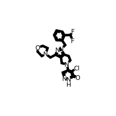 O=c1[nH]ncc(N2CCc3c(c(CN4CCOCC4)nn3Cc3ccccc3C(F)F)C2)c1Cl